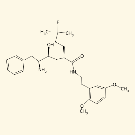 COc1ccc(OC)c(CCNC(=O)[C@H](CCC(C)(C)F)C[C@H](O)[C@@H](N)Cc2ccccc2)c1